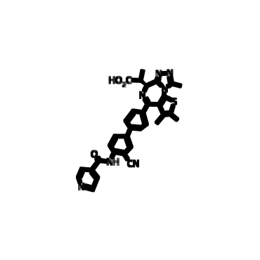 Cc1sc2c(c1C)C(c1ccc(-c3ccc(NC(=O)c4ccncc4)c(C#N)c3)cc1)=N[C@@H](C(C)C(=O)O)c1nnc(C)n1-2